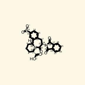 O=C(O)[C@@H]1CCC[C@@H]2c3cc([N+](=O)[O-])ccc3C[C@H](N3C(=O)c4ccccc4C3=O)C(=O)N21